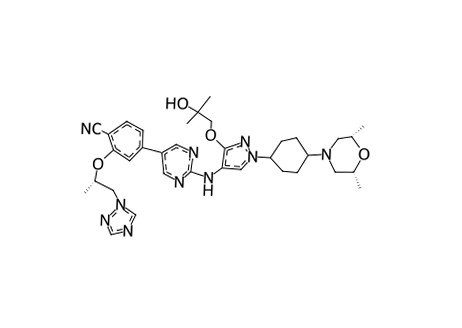 C[C@@H]1CN(C2CCC(n3cc(Nc4ncc(-c5ccc(C#N)c(O[C@@H](C)Cn6cncn6)c5)cn4)c(OCC(C)(C)O)n3)CC2)C[C@H](C)O1